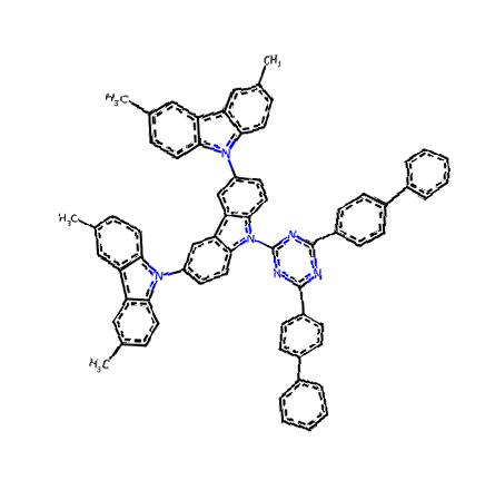 Cc1ccc2c(c1)c1cc(C)ccc1n2-c1ccc2c(c1)c1cc(-n3c4ccc(C)cc4c4cc(C)ccc43)ccc1n2-c1nc(-c2ccc(-c3ccccc3)cc2)nc(-c2ccc(-c3ccccc3)cc2)n1